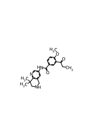 CCC(=O)c1cc(C(=O)Nc2cnc3c(c2)CNCC3(C)C)ccc1OC